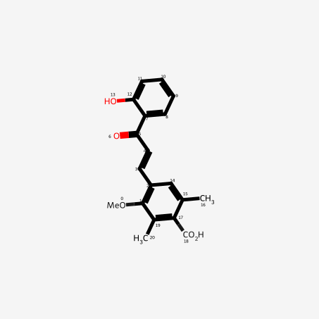 COc1c(C=CC(=O)c2ccccc2O)cc(C)c(C(=O)O)c1C